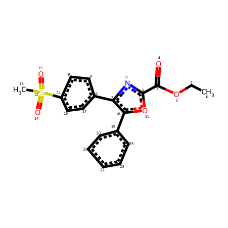 CCOC(=O)c1nc(-c2ccc(S(C)(=O)=O)cc2)c(-c2ccccc2)o1